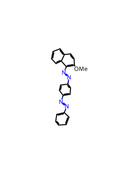 COc1ccc2ccccc2c1/N=N/c1ccc(/N=N/c2ccccc2)cc1